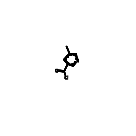 Cc1cncc(C(=O)Cl)c1